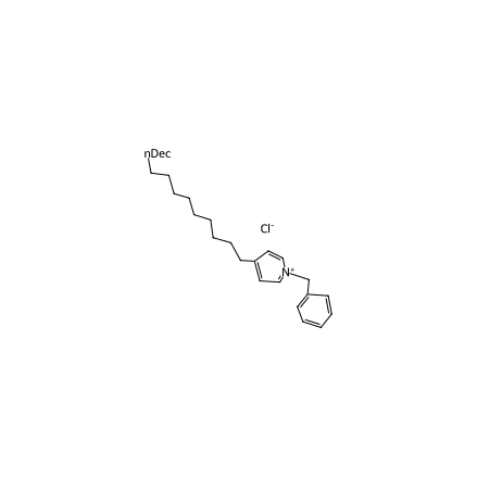 CCCCCCCCCCCCCCCCCCCc1cc[n+](Cc2ccccc2)cc1.[Cl-]